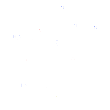 NC(=O)C(=O)C(Cc1c[nH]c2ccsc12)NC(=O)c1cncn1-c1ccccn1